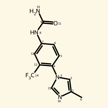 Cc1cn(-c2ccc(NC(N)=O)cc2C(F)(F)F)cn1